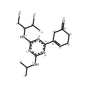 CC(C)Nc1nc(NC(CF)C(F)F)nc(C2=CCCC(=O)C2)n1